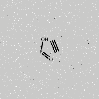 C#C.O=PO